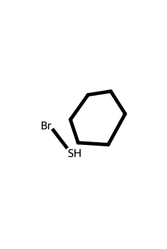 C1CCCCC1.SBr